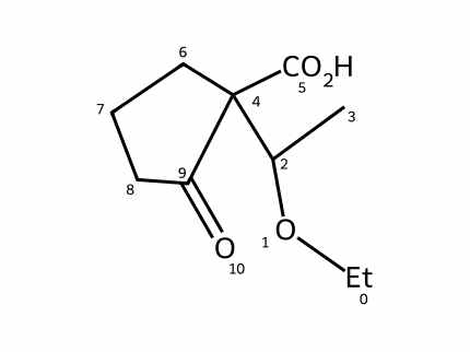 CCOC(C)C1(C(=O)O)CCCC1=O